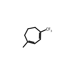 CC1=CC=C(C(F)(F)F)CCC1